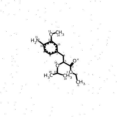 CCOC(=O)C(Cc1ccc(N)c(OC)c1)OC(C)C